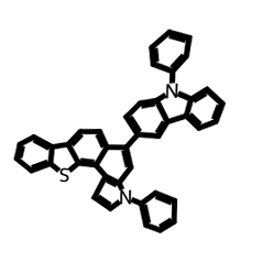 c1ccc(-n2ccc3c4c(ccc5c6ccccc6sc54)c(-c4ccc5c(c4)c4ccccc4n5-c4ccccc4)cc32)cc1